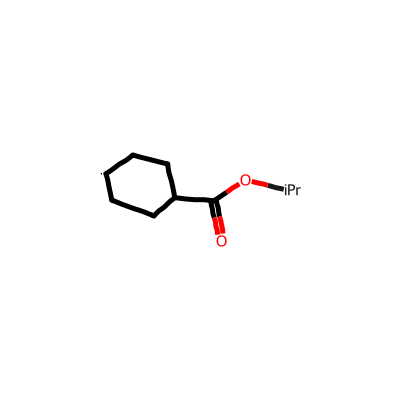 CC(C)OC(=O)C1CC[CH]CC1